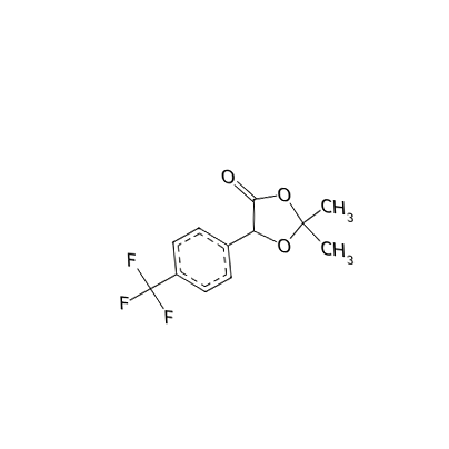 CC1(C)OC(=O)C(c2ccc(C(F)(F)F)cc2)O1